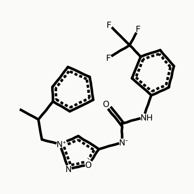 CC(C[n+]1cc([N-]C(=O)Nc2cccc(C(F)(F)F)c2)on1)c1ccccc1